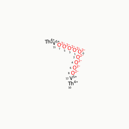 [O-2].[O-2].[O-2].[O-2].[O-2].[O-2].[O-2].[O-2].[O-2].[Th+4].[Th+4].[V+5].[V+5]